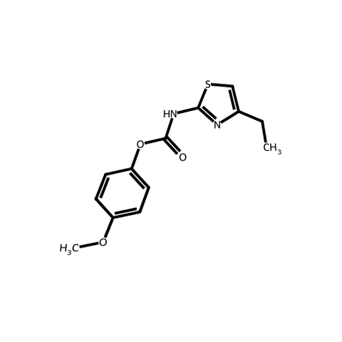 CCc1csc(NC(=O)Oc2ccc(OC)cc2)n1